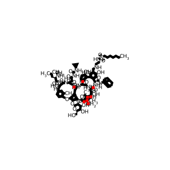 CCCCCCCS(=O)(=O)NCCNCc1c(O)cc2c(c1O)-c1cc(ccc1O)[C@H]1NC(=O)[C@@H]3NC(=O)[C@H](CC(=O)NC(=O)NC4CC4)NC(=O)[C@H](NC(=O)[C@@H](CC(C)C)NC)[C@H](O)c4ccc(c(C)c4)Oc4cc3cc(c4O[C@@H]3O[C@H](CO)[C@@H](O)[C@H](O)[C@H]3O[C@H]3C[C@](C)(N)[C@H](O)[C@H](C)O3)Oc3ccc(cc3Cl)[C@@H](O)[C@H](NC1=O)C(=O)N[C@@H]2C(=O)NC1C2CC3CC(C2)CC1C3